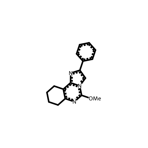 COc1nc2c(c3nc(-c4ccccc4)cn13)CCCC2